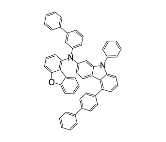 c1ccc(-c2ccc(-c3cccc4c3c3ccc(N(c5cccc(-c6ccccc6)c5)c5cccc6oc7ccccc7c56)cc3n4-c3ccccc3)cc2)cc1